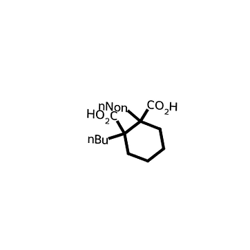 CCCCCCCCCC1(C(=O)O)CCCCC1(CCCC)C(=O)O